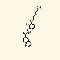 CCC=CCCOc1cccc(CNC(=O)c2ccc3ncccc3c2)c1F